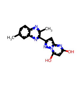 Cc1ccc2nc(C)c(-c3cc4nc(O)cc(O)n4n3)nc2c1